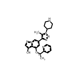 Cc1c(-c2cc(O[C@H](C)c3ccccn3)c3c(C#N)cnn3c2)nnn1C1CCNCC1